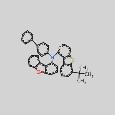 CC(C)(C)c1cccc2c1sc1cccc(N(c3ccc(-c4ccccc4)cc3)c3cccc4oc5ccccc5c34)c12